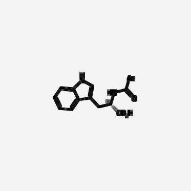 CC(=O)C(=O)N[C@@H](Cc1c[nH]c2ccccc12)C(=O)O